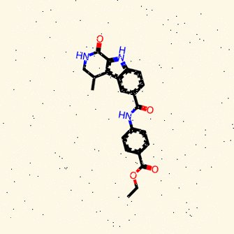 CCOC(=O)c1ccc(NC(=O)c2ccc3[nH]c4c(c3c2)C(C)CNC4=O)cc1